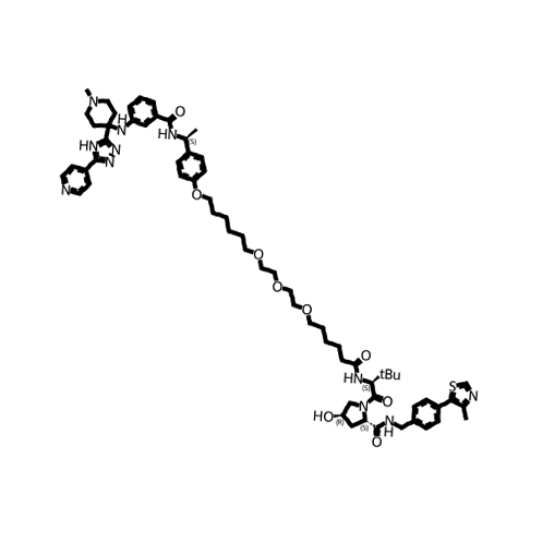 Cc1ncsc1-c1ccc(CNC(=O)[C@@H]2C[C@@H](O)CN2C(=O)[C@@H](NC(=O)CCCCCOCCOCCOCCCCCCOc2ccc([C@H](C)NC(=O)c3cccc(NC4(c5nnc(-c6ccncc6)[nH]5)CCN(C)CC4)c3)cc2)C(C)(C)C)cc1